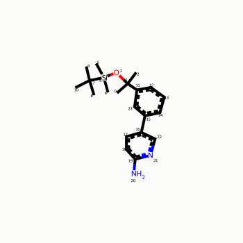 CC(C)(O[Si](C)(C)C(C)(C)C)c1cccc(-c2ccc(N)nc2)c1